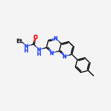 CCNC(=O)Nc1cnc2ccc(-c3ccc(C)cc3)nc2n1